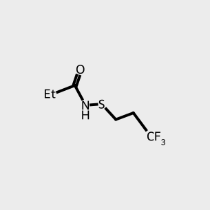 CCC(=O)NSCCC(F)(F)F